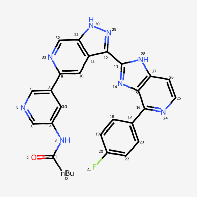 CCCCC(=O)Nc1cncc(-c2cc3c(-c4nc5c(-c6ccc(F)cc6)nccc5[nH]4)n[nH]c3cn2)c1